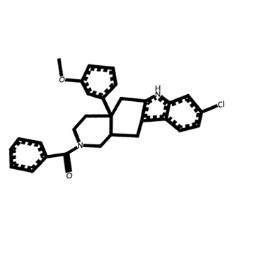 COc1cccc(C23CCN(C(=O)c4ccccc4)CC2Cc2c([nH]c4cc(Cl)ccc24)C3)c1